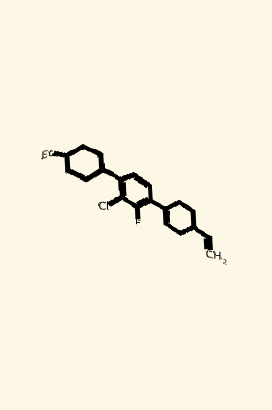 C=CC1CC=C(c2ccc(C3CCC(CC)CC3)c(Cl)c2F)CC1